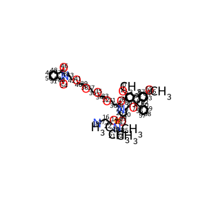 COc1ccc(C(OCC2C[C@@H](OP(OCCC#N)N(C(C)C)C(C)C)CN2C(=O)CCOCCOCCOCCOCCN2C(=O)c3ccccc3C2=O)(c2ccccc2)c2ccc(OC)cc2)cc1